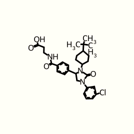 CC(C)(C)C1CCC(N2C(=O)N(c3cccc(Cl)c3)CC2c2ccc(C(=O)NCCC(=O)O)cc2)CC1